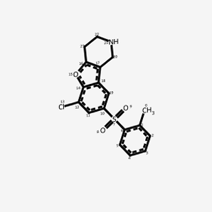 Cc1ccccc1S(=O)(=O)c1cc(Cl)c2oc3c(c2c1)CNCC3